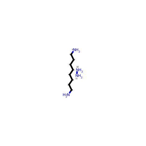 NCCCCCCCCN.NN